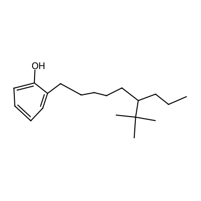 CCCC(CCCCCc1ccccc1O)C(C)(C)C